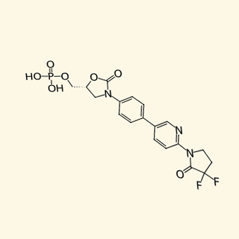 O=C1O[C@@H](COP(=O)(O)O)CN1c1ccc(-c2ccc(N3CCC(F)(F)C3=O)nc2)cc1